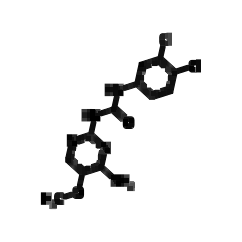 COc1cnc(NC(=O)Nc2ccc(Cl)c(Cl)c2)nc1N